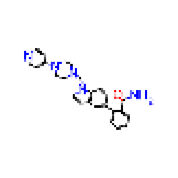 NC(=O)c1ccccc1-c1ccc2c(ccn2CN2CCN(c3ccncc3)CC2)c1